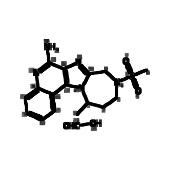 CC1CCN(S(C)(=O)=O)Cc2nc3c(N)nc4ccccc4c3n21.O=CO